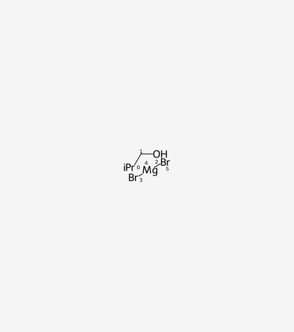 CC(C)CO.[Br][Mg][Br]